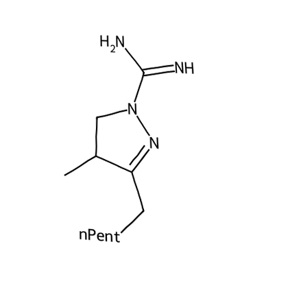 CCCCCCC1=NN(C(=N)N)CC1C